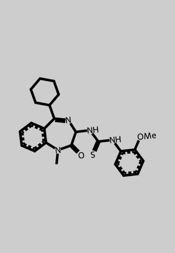 COc1ccccc1NC(=S)NC1N=C(C2CCCCC2)c2ccccc2N(C)C1=O